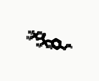 COc1ccc(CC(C)(N)C(=O)OC(C)(C)C)cc1